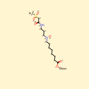 CCCCCCCCCOC(=O)CCCCCCC[NH+]([O-])CCCNC(=O)CS(C)(=O)=O